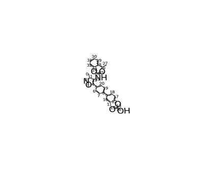 Cc1noc(-c2ccc(-c3ccc(OC(=O)O)cc3)cc2)c1NC(=O)O[C@H](C)c1ccccc1